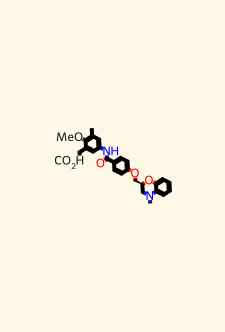 COc1c(C)cc(NC(=O)c2ccc(OC[C@@H]3CN(C)c4ccccc4O3)cc2)cc1CC(=O)O